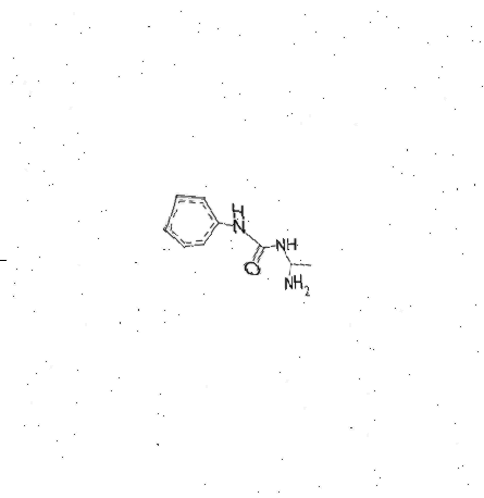 CC(N)NC(=O)Nc1ccccc1